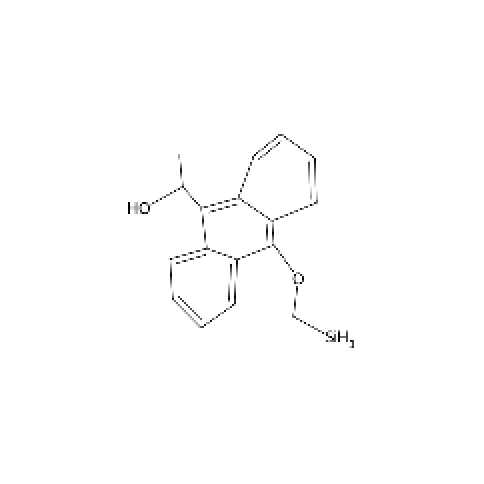 CC(O)c1c2ccccc2c(OC[SiH3])c2ccccc12